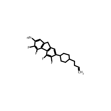 C=CCCC1CCC(c2cc3c(c(F)c2F)-c2c(cc(CCC)c(F)c2F)C3)CC1